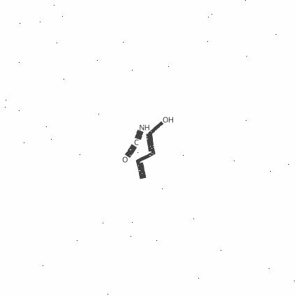 C=CC=CO.N=C=O